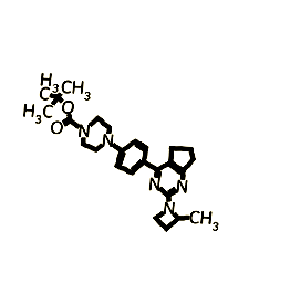 CC1CCN1c1nc2c(c(-c3ccc(N4CCN(C(=O)OC(C)(C)C)CC4)cc3)n1)CCC2